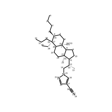 CCCC[C@H]1CC[C@H]2C3CCC([C@H](C)Cn4cc(C#N)cn4)[C@@]3(C)CCC2[C@@]1(CC)CCC